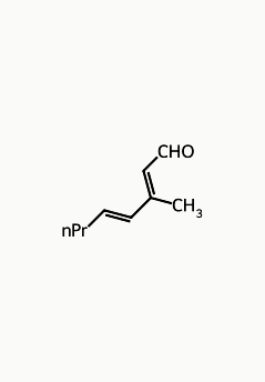 CCCC=CC(C)=CC=O